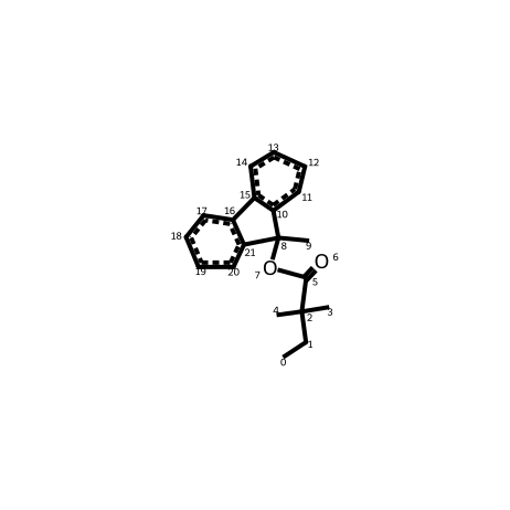 CCC(C)(C)C(=O)OC1(C)c2ccccc2-c2ccccc21